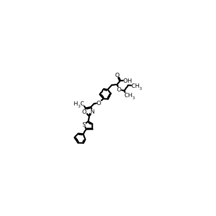 CCC(C)OC(Cc1ccc(OCc2nc(-c3ccc(-c4ccccc4)s3)oc2C)cc1)C(=O)O